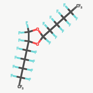 FC(F)(F)C(F)(F)C(F)(F)C(F)(F)C(F)(F)C1(F)OC(F)(F)C(F)(C(F)(F)C(F)(F)C(F)(F)C(F)(F)C(F)(F)F)O1